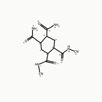 N#CNC(=O)C1CC(C(N)=O)C(C(N)=O)CC1C(=O)NC#N